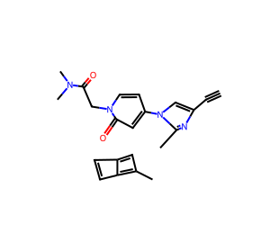 C#Cc1cn(-c2ccn(CC(=O)N(C)C)c(=O)c2)c(C)n1.Cc1cc2ccc1-2